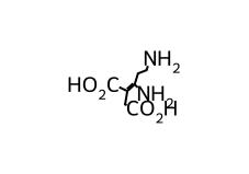 NCCC(N)=C(CC(=O)O)C(=O)O